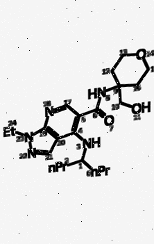 CCCC(CCC)Nc1c(C(=O)NC2(CO)CCOCC2)cnc2c1cnn2CC